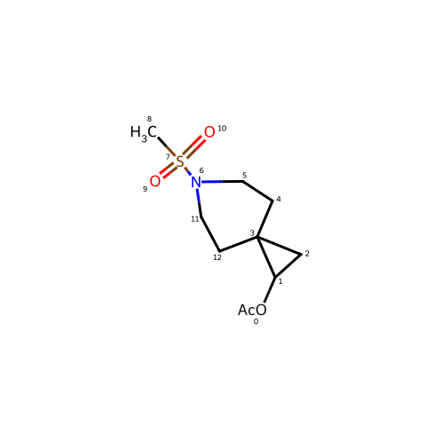 CC(=O)OC1CC12CCN(S(C)(=O)=O)CC2